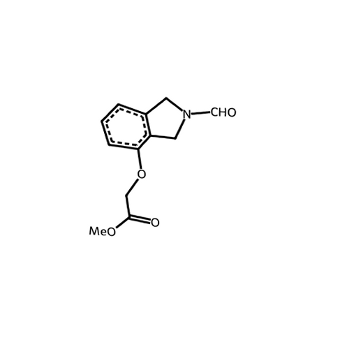 COC(=O)COc1cccc2c1CN(C=O)C2